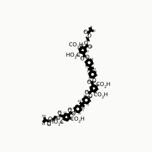 C=C(C)C(=O)OCCOC(=O)c1cc(C(=O)OC2CCC(C(C)(C)C3CCC(OC(=O)c4cc(C(=O)OC5CCC(C(C)(C)C6CCC(OC(=O)c7cc(C(=O)OCCOC(=O)C(=C)C)c(C(=O)O)cc7C(=O)O)CC6)CC5)c(C(=O)O)cc4C(=O)O)CC3)CC2)c(C(=O)O)cc1C(=O)O